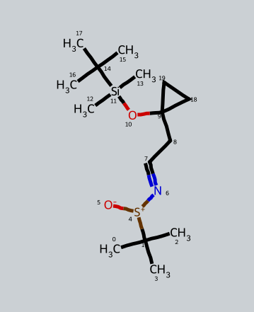 CC(C)(C)[S+]([O-])/N=C/CC1(O[Si](C)(C)C(C)(C)C)CC1